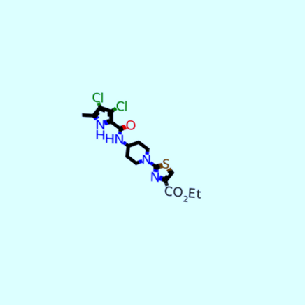 CCOC(=O)c1csc(N2CCC(NC(=O)c3[nH]c(C)c(Cl)c3Cl)CC2)n1